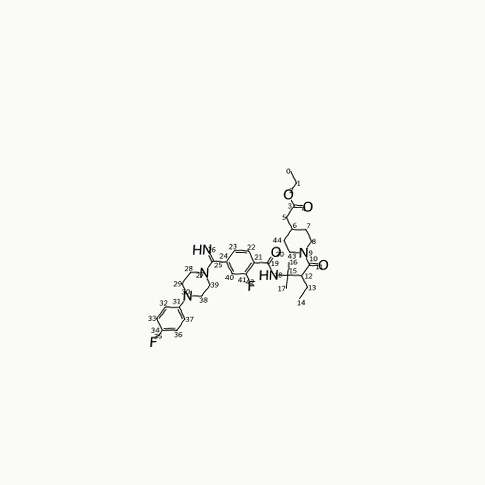 CCOC(=O)CC1CCN(C(=O)C(CC)C(C)(C)NC(=O)c2ccc(C(=N)N3CCN(c4ccc(F)cc4)CC3)cc2F)CC1